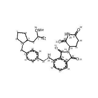 CCC(CC1CCCN1Cc1ccc(CNc2cccc3c2C(=O)N(C2CCC(=O)NC2=O)C3=O)cc1)OC